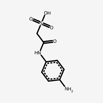 Nc1ccc(NC(=O)CS(=O)(=O)O)cc1